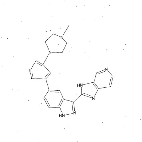 CN1CCN(c2cncc(-c3ccc4[nH]nc(-c5nc6ccncc6[nH]5)c4c3)c2)CC1